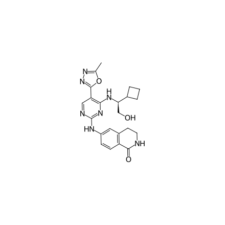 Cc1nnc(-c2cnc(Nc3ccc4c(c3)CCNC4=O)nc2N[C@H](CO)C2CCC2)o1